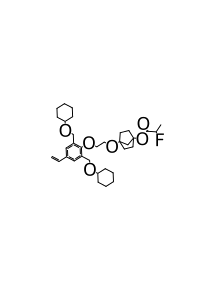 C=Cc1cc(COC2CCCCC2)c(OCCOC23CCC(OC(=O)C(C)F)(CC2)C3)c(COC2CCCCC2)c1